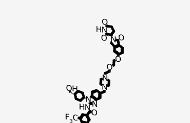 O=C1CCC(N2Cc3cc(OCCOCCN4CCN(Cc5ccc6c(c5)nc(NC(=O)c5cccc(C(F)(F)F)c5)n6[C@H]5CC[C@@H](CO)CC5)CC4)ccc3C2=O)C(=O)N1